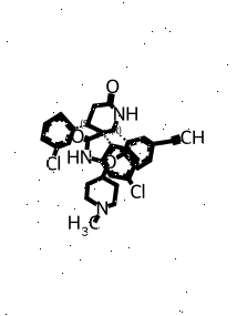 C#Cc1ccc(OC2CCN(C)CC2)c([C@H]2NC(=O)C[C@@H](c3cccc(Cl)c3)[C@]23C(=O)Nc2cc(Cl)ccc23)c1